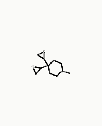 CC1CCC(C2CO2)(C2CO2)CC1